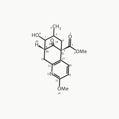 COC(=O)[C@@]12CC(C)C(O)[C@@H](Cc3nc(OC)ccc31)C2=O